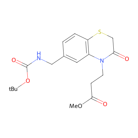 COC(=O)CCN1C(=O)CSc2ccc(CNC(=O)OC(C)(C)C)cc21